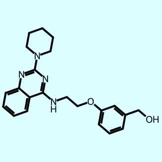 OCc1cccc(OCCNc2nc(N3CCCCC3)nc3ccccc23)c1